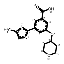 Cc1cnc(-c2cc(OC3CCOCC3)cc(C(=O)O)c2)s1